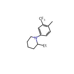 CCC1CCCCN1c1ccc(C)c(C(F)(F)F)c1